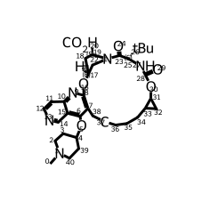 CN1CCC(Oc2c3c(nc4ccncc24)O[C@@H]2C[C@@H](C(=O)O)N(C2)C(=O)[C@H](C(C)(C)C)NC(=O)OC2CC2CCCCC3)CC1